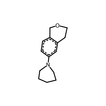 c1cc2c(cc1N1CCCCC1)CCOC2